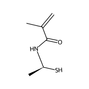 C=C(C)C(=O)N[C@H](C)S